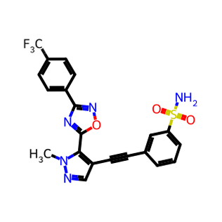 Cn1ncc(C#Cc2cccc(S(N)(=O)=O)c2)c1-c1nc(-c2ccc(C(F)(F)F)cc2)no1